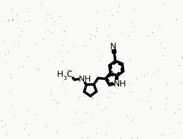 CCNC1CCCC1Cc1c[nH]c2ccc(C#N)cc12